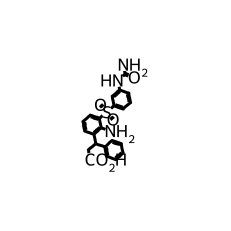 NC(=O)Nc1cccc(S(=O)(=O)c2cccc(C(CC(=O)O)c3ccccc3)c2N)c1